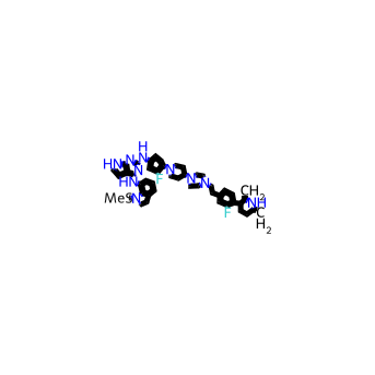 C=C1CCC(c2ccc(CCN3CCN(C4CCN(c5ccc(Nc6nc(Nc7cccc8c7N(SC)CC8)c7cc[nH]c7n6)cc5F)CC4)CC3)cc2F)C(=C)N1